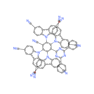 N#Cc1ccc2c(c1)c1cc(C#N)ccc1n2-c1c(C#N)c(-n2c3ccc(C#N)cc3c3cc(C#N)ccc32)c(-n2c3ccc(C#N)cc3c3cc(C#N)ccc32)c(-c2nc(-c3ccccc3)nc(-c3ccccc3)n2)c1-n1c2ccc(C#N)cc2c2cc(C#N)ccc21